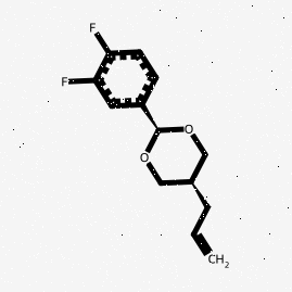 C=CC[C@H]1CO[C@@H](c2ccc(F)c(F)c2)OC1